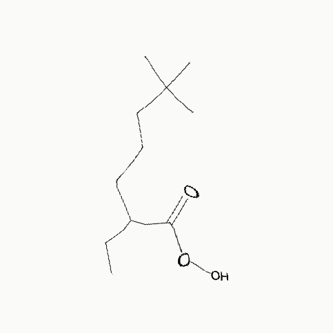 CCC(CCCC(C)(C)C)C(=O)OO